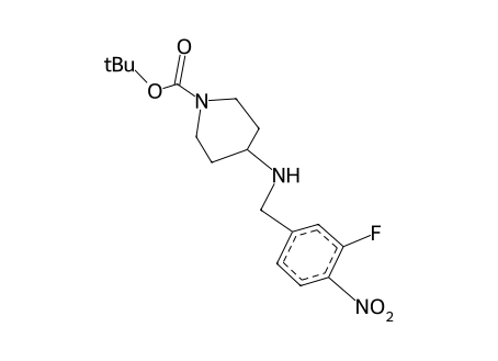 CC(C)(C)OC(=O)N1CCC(NCc2ccc([N+](=O)[O-])c(F)c2)CC1